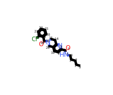 CCCCCNC(=O)c1ccc2c(n1)CCN(C(=O)c1ccccc1Cl)C2